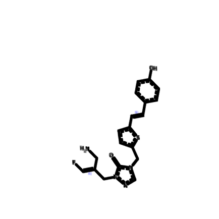 NC/C(=C\F)Cn1ncn(Cc2ccc(/C=C/c3ccc(O)cc3)s2)c1=O